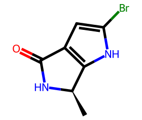 C[C@H]1NC(=O)c2cc(Br)[nH]c21